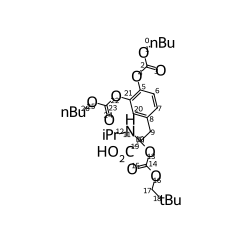 CCCCOC(=O)Oc1ccc(C[C@](NC(C)C)(OC(=O)OCC(C)(C)C)C(=O)O)cc1OC(=O)OCCCC